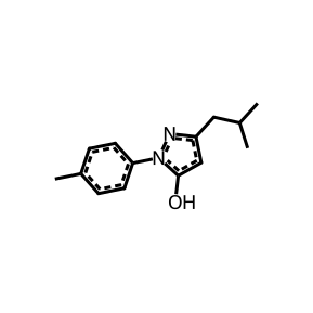 Cc1ccc(-n2nc(CC(C)C)cc2O)cc1